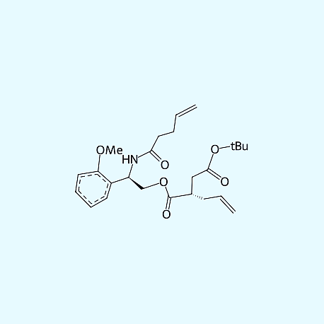 C=CCCC(=O)N[C@@H](COC(=O)[C@@H](CC=C)CC(=O)OC(C)(C)C)c1ccccc1OC